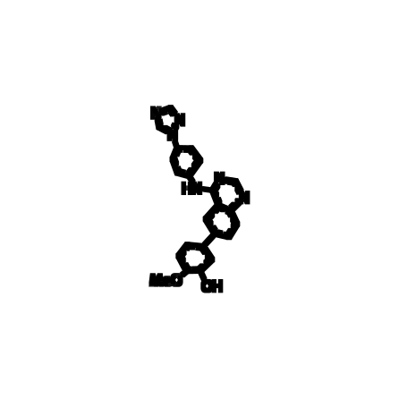 COc1ccc(-c2ccc3ncnc(Nc4ccc(-n5cncn5)cc4)c3c2)cc1O